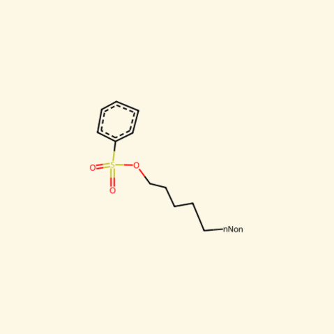 CCCCCCCCCCCCCCOS(=O)(=O)c1ccccc1